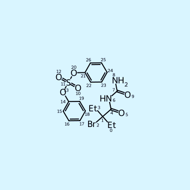 CCC(Br)(CC)C(=O)NC(N)=O.O=S(=O)(Oc1ccccc1)Oc1ccccc1